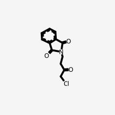 O=C(CCl)CCN1C(=O)c2ccccc2C1=O